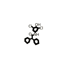 O=C(Nc1cc(Cl)c(O)c(Cl)c1)C(c1ccccc1)c1ccccc1